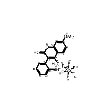 COc1ccc2c(C)c(-c3ccccc3[IH+])c(=O)oc2c1.[F][Sb-]([F])([F])([F])([F])[F]